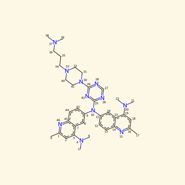 Cc1cc(N(C)C)c2cc(N(c3ccc4nc(C)cc(N(C)C)c4c3)c3ncnc(N4CCN(CCCN(C)C)CC4)n3)ccc2n1